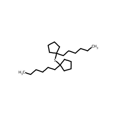 CCCCCCC1(SC2(CCCCCC)CCCC2)CCCC1